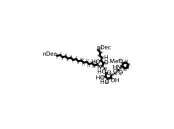 CCCCCCCCCCCCCCCCCCCCCCCCCCN[C@@H](CO[C@H]1O[C@H](COC(=O)Nc2ccccc2OC)[C@H](O)[C@H](O)[C@H]1O)[C@H](O)[C@H](O)CCCCCCCCCCCCCC